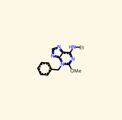 CCNc1nc(OC)n(Cc2ccccc2)c2ncnc1-2